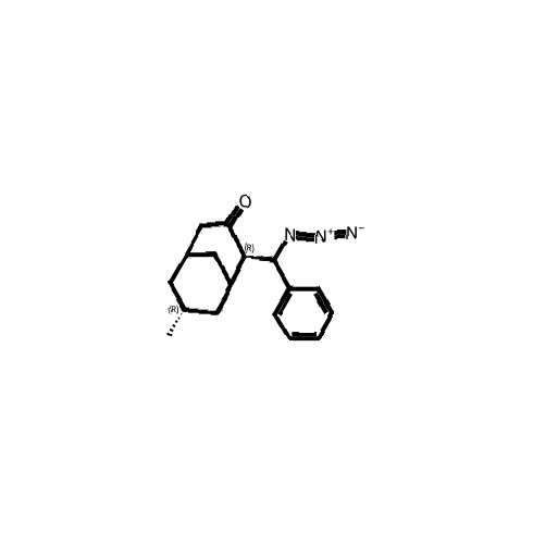 C[C@@H]1CC2CC(=O)[C@@H](C(N=[N+]=[N-])c3ccccc3)C(C2)C1